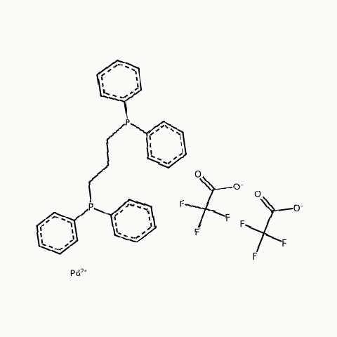 O=C([O-])C(F)(F)F.O=C([O-])C(F)(F)F.[Pd+2].c1ccc(P(CCCP(c2ccccc2)c2ccccc2)c2ccccc2)cc1